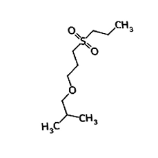 CCCS(=O)(=O)CCCOCC(C)C